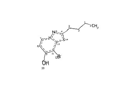 CCCCc1nc2ccc(O)c(Br)c2s1